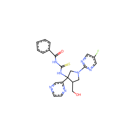 O=C(NC(=S)NC1(c2cnccn2)CN(c2ncc(F)cn2)CC1CO)c1ccccc1